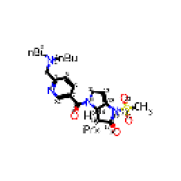 CCCCN(CCCC)Cc1ccc(C(=O)N2CC=C3[C@H]2[C@@H](C(C)C)C(=O)N3S(C)(=O)=O)cn1